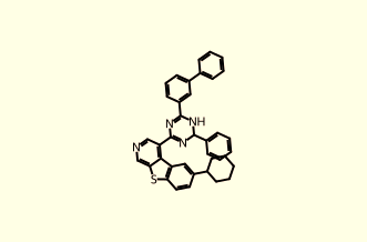 c1ccc(-c2cccc(C3=NC(c4cncc5sc6ccc(C7CCCCC7)cc6c45)=NC(c4ccccc4)N3)c2)cc1